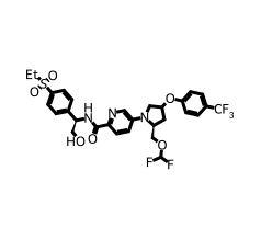 CCS(=O)(=O)c1ccc([C@H](CO)NC(=O)c2ccc(N3CC(Oc4ccc(C(F)(F)F)cc4)C[C@H]3COC(F)F)cn2)cc1